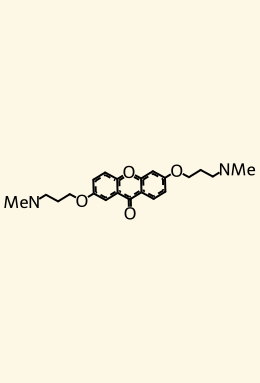 CNCCCOc1ccc2c(=O)c3cc(OCCCNC)ccc3oc2c1